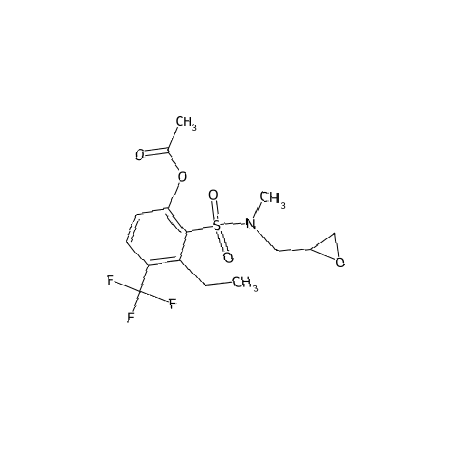 CCc1c(C(F)(F)F)ccc(OC(C)=O)c1S(=O)(=O)N(C)CC1CO1